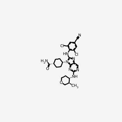 C[C@H]1COCC[C@@H]1Nc1ncc2nc(Nc3c(Cl)cc(C#N)cc3Cl)n([C@H]3CC[C@@H](C(N)=O)CC3)c2n1